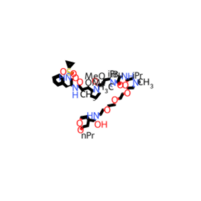 CCCOC1CC(C(O)NCCOCCOCCOCCN(C)[C@H](C(=O)N[C@H](C(=O)N(C)[C@@H]([C@@H](C)CC)[C@@H](CC(=O)N2CCC[C@H]2[C@H](OC)[C@@H](C)C(=O)N[C@@H](Cc2ccccc2)C(=O)NS(=O)(=O)C2CC2)OC)C(C)C)C(C)C)C=CO1